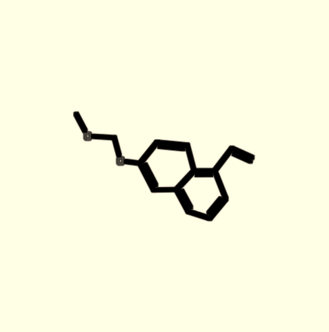 C=Cc1cccc2cc(OCOC)ccc12